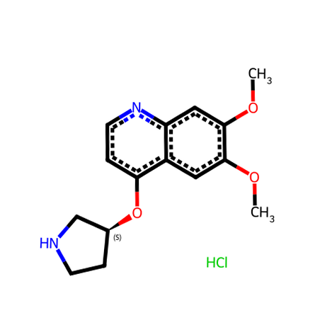 COc1cc2nccc(O[C@H]3CCNC3)c2cc1OC.Cl